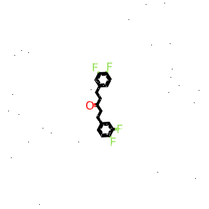 O=C(CCc1ccc(F)c(F)c1)CCc1ccc(F)c(F)c1